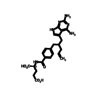 C=CCC(Cc1ccc(C(=O)N[C@@H](CCC(=O)O)C(=O)O)cc1)Cc1c[nH]c2nc(N)nc(N)c12